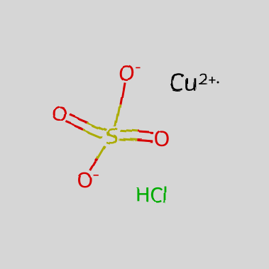 Cl.O=S(=O)([O-])[O-].[Cu+2]